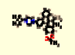 CC(=O)Oc1ccc(/C(=C(/c2ccccc2)C(C)C)c2ccc(N3CCN(C(C)C)CC3)cc2)cc1